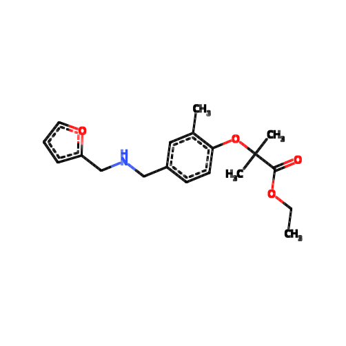 CCOC(=O)C(C)(C)Oc1ccc(CNCc2ccco2)cc1C